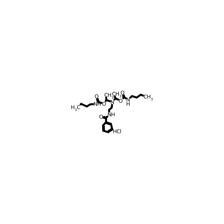 CCCCNC(=O)OC(C)N(CCNC(=O)c1ccccc1)C(C)OC(=O)NCCCC.Cl